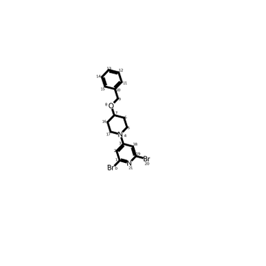 Brc1cc(N2CCC(OCc3ccccc3)CC2)cc(Br)n1